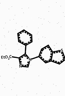 CCOC(=O)c1ncn(-c2ccc3sccc3c2)c1-c1ccccc1